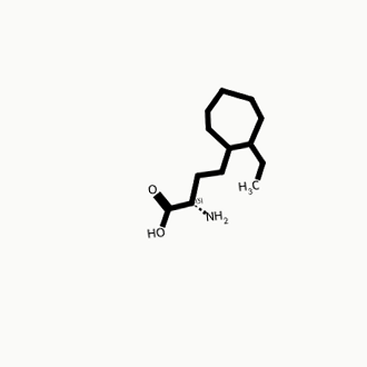 CCC1CCCCCC1CC[C@H](N)C(=O)O